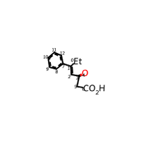 CC/C(=C\C(=O)CC(=O)O)c1ccccc1